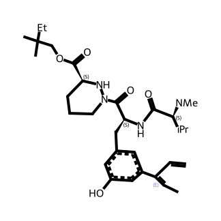 C=C/C(=C\C)c1cc(O)cc(C[C@H](NC(=O)[C@@H](NC)C(C)C)C(=O)N2CCC[C@@H](C(=O)OCC(C)(C)CC)N2)c1